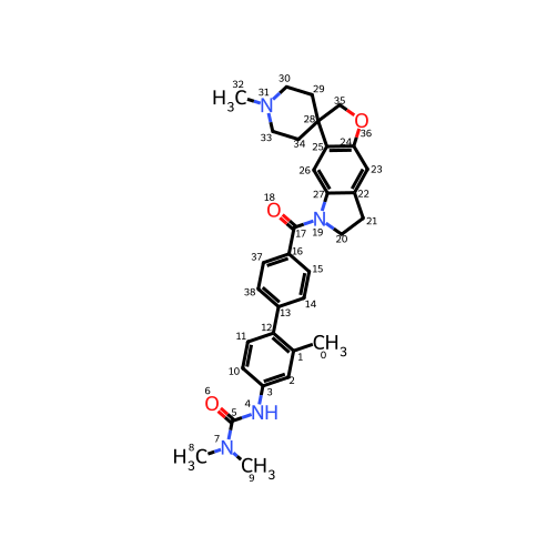 Cc1cc(NC(=O)N(C)C)ccc1-c1ccc(C(=O)N2CCc3cc4c(cc32)C2(CCN(C)CC2)CO4)cc1